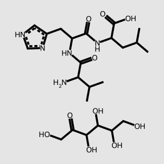 CC(C)CC(NC(=O)C(Cc1c[nH]cn1)NC(=O)C(N)C(C)C)C(=O)O.O=C(CO)C(O)C(O)C(O)CO